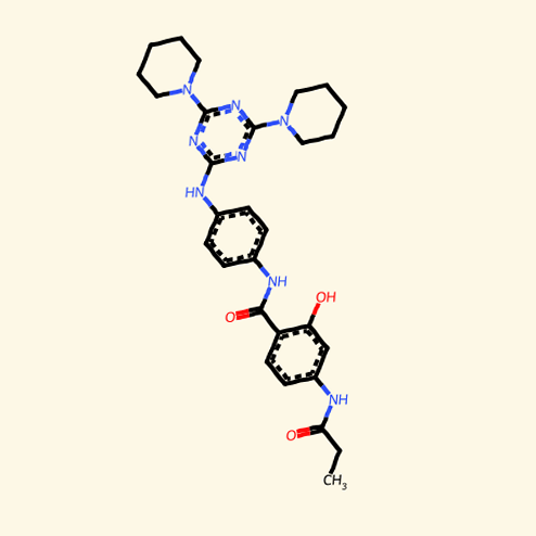 CCC(=O)Nc1ccc(C(=O)Nc2ccc(Nc3nc(N4CCCCC4)nc(N4CCCCC4)n3)cc2)c(O)c1